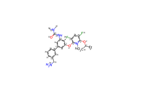 CCC(Oc1nc(Oc2cc(NC(=O)N(C)C)cc(-c3cccc(CN)c3)c2)c(F)cc1F)C(=O)O